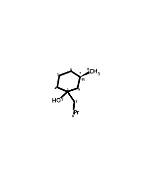 CC(C)CC1(O)CCC[C@@H](C)C1